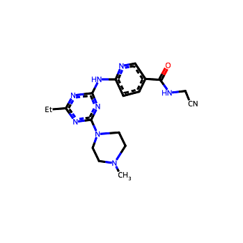 CCc1nc(Nc2ccc(C(=O)NCC#N)cn2)nc(N2CCN(C)CC2)n1